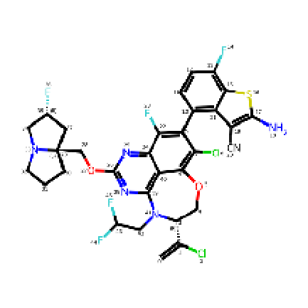 C=C(Cl)[C@H]1COc2c(Cl)c(-c3ccc(F)c4sc(N)c(C#N)c34)c(F)c3nc(OC[C@@]45CCCN4C[C@H](F)C5)nc(c23)N1CC(F)F